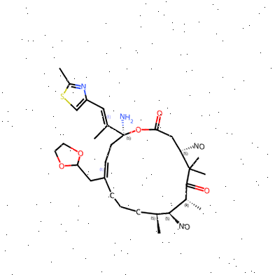 C/C(=C\c1csc(C)n1)[C@]1(N)C/C=C(/CC2OCCO2)CCC[C@H](C)[C@H](N=O)[C@@H](C)C(=O)C(C)(C)[C@@H](N=O)CC(=O)O1